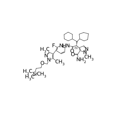 Cc1nn(COCC[Si](C)(C)C)c(C)c1-c1ccc(NC(=O)[C@H](c2cnn(C)c2C(N)=O)C(C2CCCCC2)C2CCCCC2)nc1F